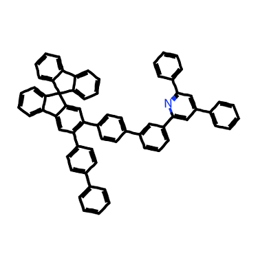 c1ccc(-c2ccc(-c3cc4c(cc3-c3ccc(-c5cccc(-c6cc(-c7ccccc7)cc(-c7ccccc7)n6)c5)cc3)C3(c5ccccc5-c5ccccc53)c3ccccc3-4)cc2)cc1